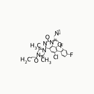 C=CC(=O)N1C[C@H](C)N(c2nc(=O)n3c4c(c(-c5ccc(F)cc5F)c(Cl)cc24)OC[C@H]3CN2CCC2)C[C@H]1C